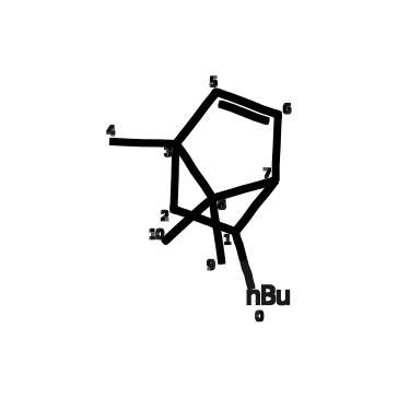 CCCCC1CC2(C)C=CC1C2(C)C